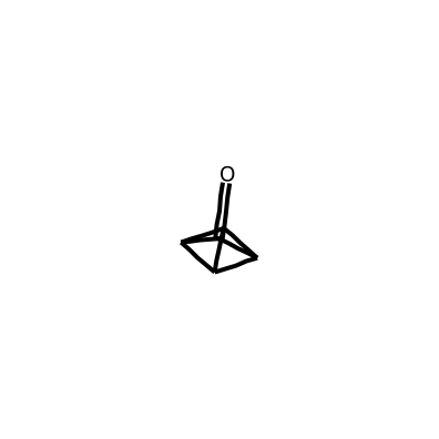 O=C1C2C3C1C23